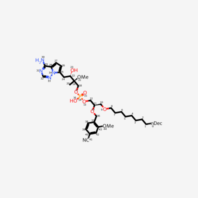 CCCCCCCCCCCCCCCCCCOC[C@H](COP(=O)(O)OC[C@@](C)(OC)[C@@H](O)Cc1ccc2c(N)ncnn12)OCc1ccc(C#N)cc1OC